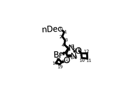 CCCCCCCCCCCCCCc1nc(OC2CCC2)nc(OC2CCC2)c1Br